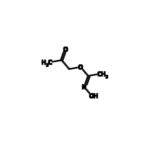 CC(=O)COC(C)=NO